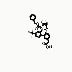 CCN(Cc1cc(C(F)(F)F)ccc1-c1cc(CC(=O)O)ccc1OCC1CC1)C(=O)OCc1ccccc1